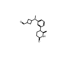 C=C1NC(=O)CCC1c1cccc(N(C)C2CC(C=O)C2)c1